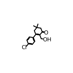 CC1(C)CC(=O)C(CO)=C(c2ccc(Cl)cc2)C1